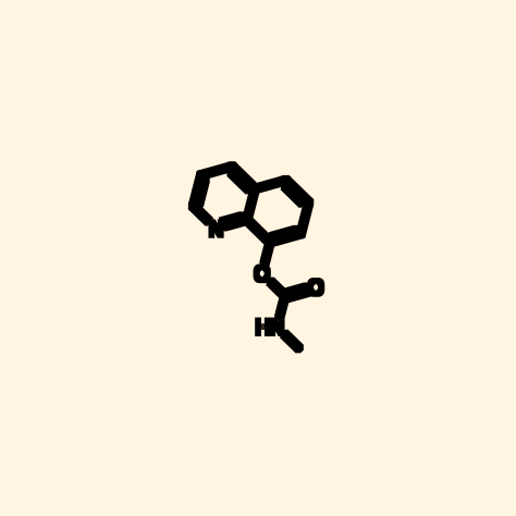 CNC(=O)Oc1cccc2cccnc12